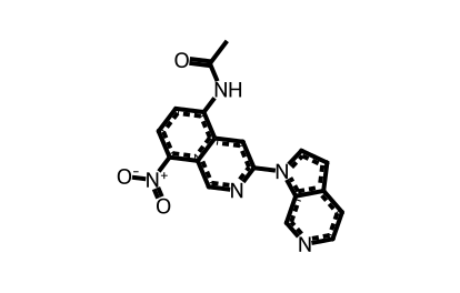 CC(=O)Nc1ccc([N+](=O)[O-])c2cnc(-n3ccc4ccncc43)cc12